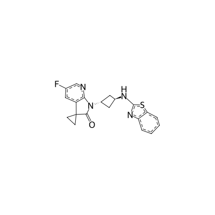 O=C1N([C@H]2C[C@H](Nc3nc4ccccc4s3)C2)c2ncc(F)cc2C12CC2